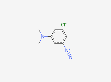 CN(C)c1cccc([N+]#N)c1.[Cl-]